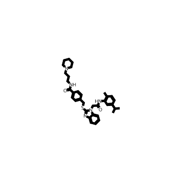 Cc1ccc(C(C)C)cc1NC(=O)Cn1c(SCc2ccc(C(=O)NCCCN3CCCCC3)cc2)nc2ccccc21